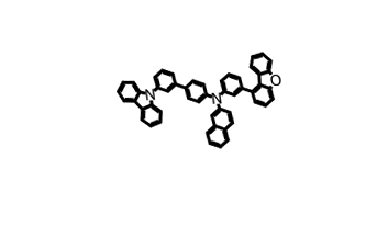 c1cc(-c2cccc3oc4ccccc4c23)cc(N(c2ccc(-c3cccc(-n4c5ccccc5c5ccccc54)c3)cc2)c2ccc3ccccc3c2)c1